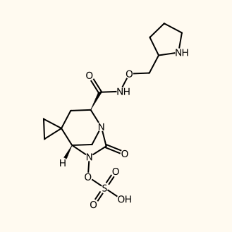 O=C(NOCC1CCCN1)[C@@H]1CC2(CC2)[C@@H]2CN1C(=O)N2OS(=O)(=O)O